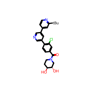 CC(C)(C)c1cc(-c2cncc(-c3ccc(C(=O)N4CC[C@H](O)[C@@H](O)C4)cc3Cl)c2)ccn1